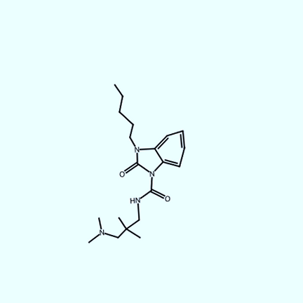 CCCCCn1c(=O)n(C(=O)NCC(C)(C)CN(C)C)c2ccccc21